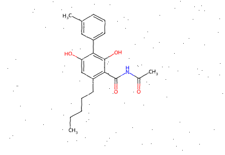 CCCCCc1cc(O)c(-c2cccc(C)c2)c(O)c1C(=O)NC(C)=O